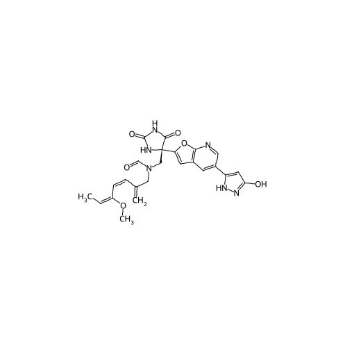 C=C(/C=C\C(=C/C)OC)CN(C=O)C[C@@]1(c2cc3cc(-c4cc(O)n[nH]4)cnc3o2)NC(=O)NC1=O